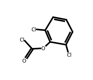 O=C(Cl)Oc1c(Cl)cccc1Cl